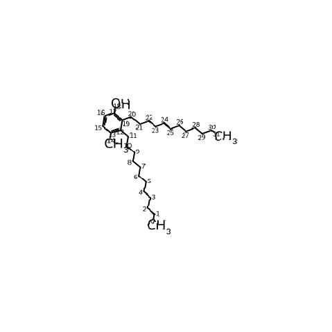 CCCCCCCCCCCCc1c(C)ccc(O)c1CCCCCCCCCCCC